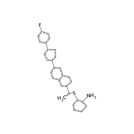 C=C(Sc1ccccc1N)c1ccc2cc(-c3ccc(-c4ccc(F)cc4)cc3)ccc2c1